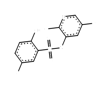 Cc1ccc(C)c(S(=O)(=O)Nc2cc(Br)cnc2Cl)c1